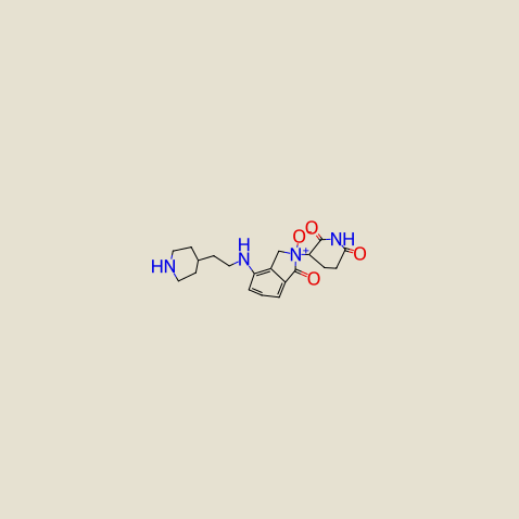 O=C1CCC([N+]2([O-])Cc3c(NCCC4CCNCC4)cccc3C2=O)C(=O)N1